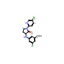 COc1cc(F)cc(NC2CCN(c3ccc(Br)cn3)C2=O)c1